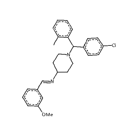 COc1cccc(C=NC2CCN(C(c3ccc(Cl)cc3)c3ccccc3C)CC2)c1